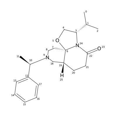 CC(C)[C@H]1CO[C@]23CCN([C@H](C)c4ccccc4)C[C@H]2CCC(=O)N13